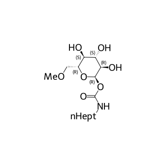 CCCCCCCNC(=O)O[C@H]1O[C@H](COC)[C@@H](O)[C@H](O)[C@H]1O